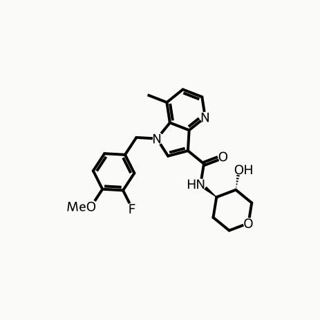 COc1ccc(Cn2cc(C(=O)N[C@@H]3CCOC[C@H]3O)c3nccc(C)c32)cc1F